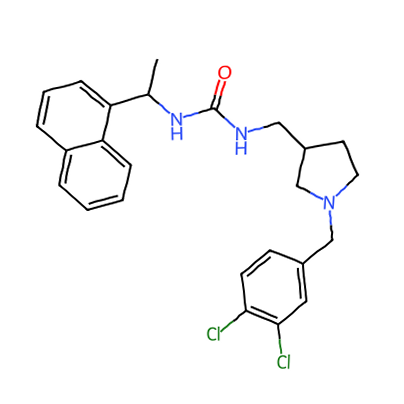 CC(NC(=O)NCC1CCN(Cc2ccc(Cl)c(Cl)c2)C1)c1cccc2ccccc12